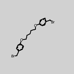 BrCc1ccc(OCCCCCOc2ccc(CBr)cc2)cc1